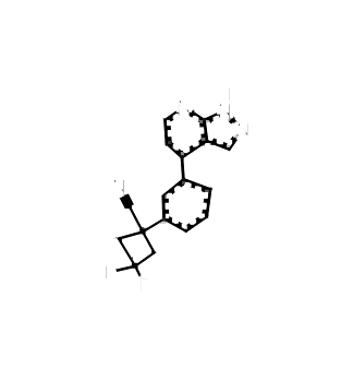 N#CC1(c2cccc(-c3ccnc4[nH]ncc34)c2)CC(F)(F)C1